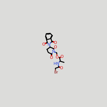 CC(NC(=O)CBr)C(=O)OCN1C(=O)CCC(N2C(=O)c3ccccc3C2=O)C1=O